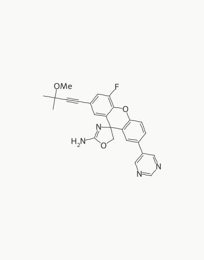 COC(C)(C)C#Cc1cc(F)c2c(c1)C1(COC(N)=N1)c1cc(-c3cncnc3)ccc1O2